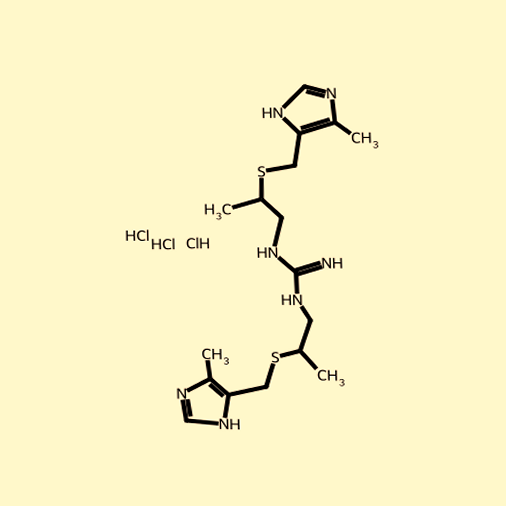 Cc1nc[nH]c1CSC(C)CNC(=N)NCC(C)SCc1[nH]cnc1C.Cl.Cl.Cl